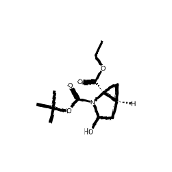 CCOC(=O)[C@]12C[C@H]1CC(O)N2C(=O)OC(C)(C)C